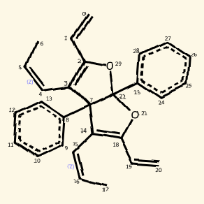 C=CC1=C(/C=C\C)C2(c3ccccc3)C(/C=C\C)=C(C=C)OC2(c2ccccc2)O1